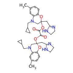 Cc1ccc2c(c1)N(CC1CC1)CC(CC1=NCCN1)(OC(=O)C(=O)OC1(CC3=NCCN3)CN(CC3CC3)c3cc(C)ccc3O1)O2